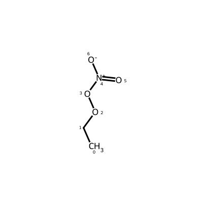 CCOO[N+](=O)[O-]